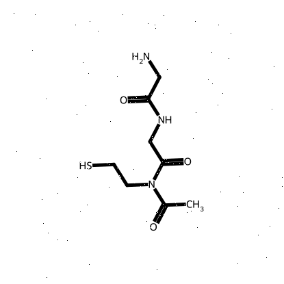 CC(=O)N(CCS)C(=O)CNC(=O)CN